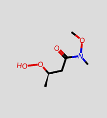 CON(C)C(=O)C[C@@H](C)OO